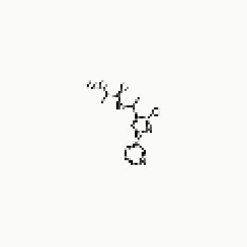 CC(=O)OC(C)C(=O)NC(C)c1cn(-c2cccnc2)nc1Cl